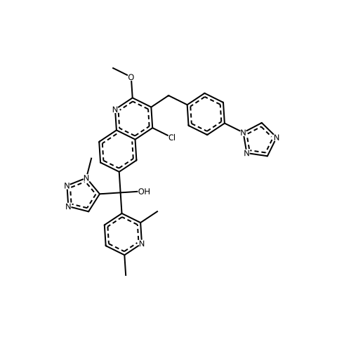 COc1nc2ccc(C(O)(c3ccc(C)nc3C)c3cnnn3C)cc2c(Cl)c1Cc1ccc(-n2cncn2)cc1